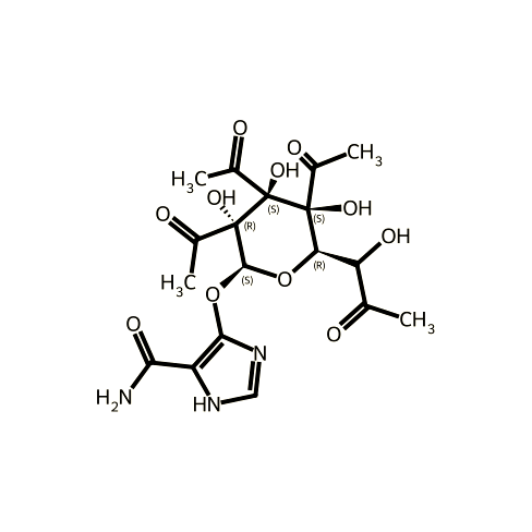 CC(=O)C(O)[C@H]1O[C@@H](Oc2nc[nH]c2C(N)=O)[C@@](O)(C(C)=O)[C@](O)(C(C)=O)[C@]1(O)C(C)=O